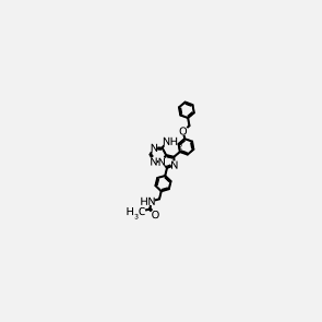 CC(=O)NCc1ccc(-c2nc(-c3cccc(OCc4ccccc4)c3)c3c(N)ncnn23)cc1